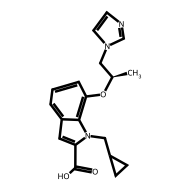 C[C@H](Cn1ccnc1)Oc1cccc2cc(C(=O)O)n(CC3CC3)c12